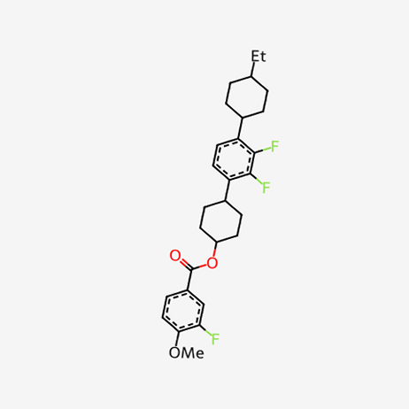 CCC1CCC(c2ccc(C3CCC(OC(=O)c4ccc(OC)c(F)c4)CC3)c(F)c2F)CC1